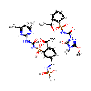 CCCOc1nn(C(=O)NS(=O)(=O)c2ccccc2C(=O)OC)c(=O)n1C.COC(=O)c1ccc(CNS(C)(=O)=O)cc1S(=O)(=O)NC(=O)Nc1nc(OC)cc(OC)n1